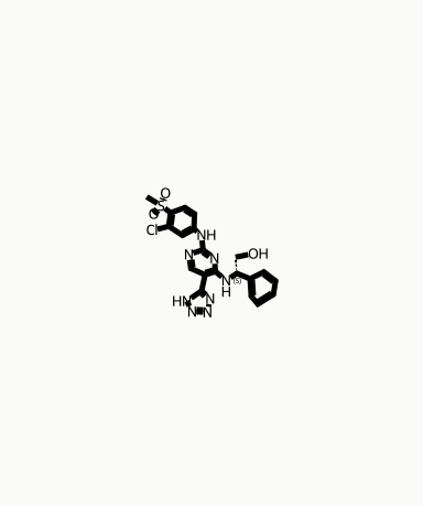 CS(=O)(=O)c1ccc(Nc2ncc(-c3nnn[nH]3)c(N[C@H](CO)c3ccccc3)n2)cc1Cl